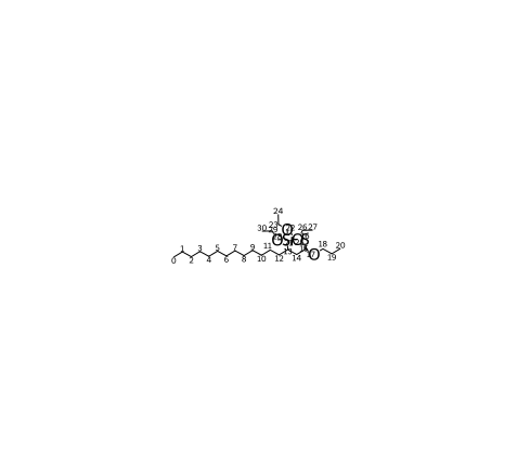 CCCCCCCCCCCCCC(CC(=S)OCCC)[Si](OCC)(OCC)OCC